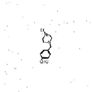 CCN1CCN(Cc2ccc(C=O)cc2)CC1